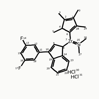 CC1=C(C)C(C)[C]([Zr]([CH]2C=C(c3cc(F)cc(F)c3)c3ccccc32)=[Si](C)C)=C1C.Cl.Cl